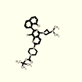 CN(C)C1CN(c2nc(-c3cccc4cccc(Cl)c34)c(F)c3nc(N4CCN(C(=O)OC(C)(C)C)CC4)ccc23)C1